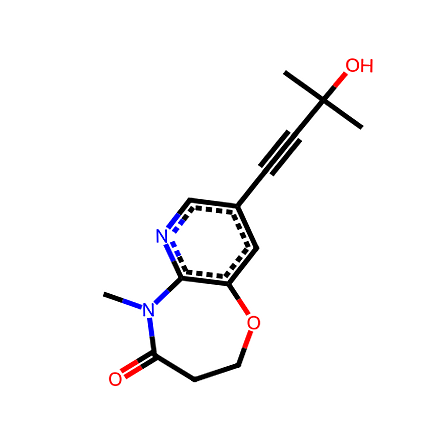 CN1C(=O)CCOc2cc(C#CC(C)(C)O)cnc21